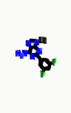 CCn1cnc2c(N)nc(-c3cc(F)cc(F)c3)nc21